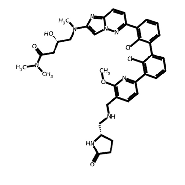 COc1nc(-c2cccc(-c3cccc(-c4ccc5nc(N(C)C[C@@H](O)CC(=O)N(C)C)cn5n4)c3Cl)c2Cl)ccc1CNC[C@@H]1CCC(=O)N1